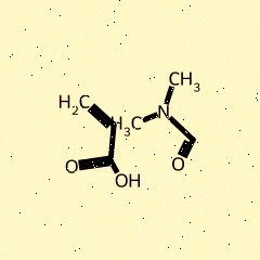 C=CC(=O)O.CN(C)C=O